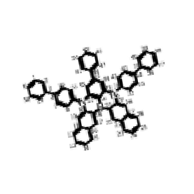 c1ccc(-c2ccc(N3c4cc5ccccc5cc4B4c5cc6ccccc6cc5N(c5ccc(-c6ccccc6)cc5)c5cc(-c6ccccc6)cc3c54)cc2)cc1